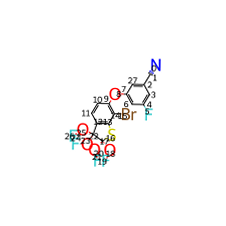 N#Cc1cc(F)cc(Oc2ccc3c(c2Br)SC(OF)(OF)C3(OF)OF)c1